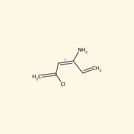 C=C/C(N)=C\C(=C)Cl